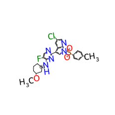 COC1CCC[C@H](Nc2nc(-c3cn(S(=O)(=O)c4ccc(C)cc4)c4ncc(Cl)cc34)ncc2F)C1